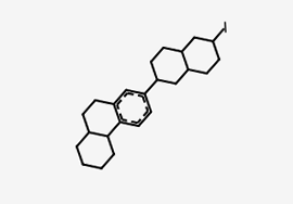 IC1CCC2CC(c3ccc4c(c3)CCC3CCCCC43)CCC2C1